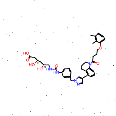 Cc1cccc(OCCCC(=O)N2CCCc3c(-c4cnn(Cc5cccc(NC(=O)NC[C@@H](O)C[C@@H](O)CC(=O)O)c5)c4)cccc32)c1C